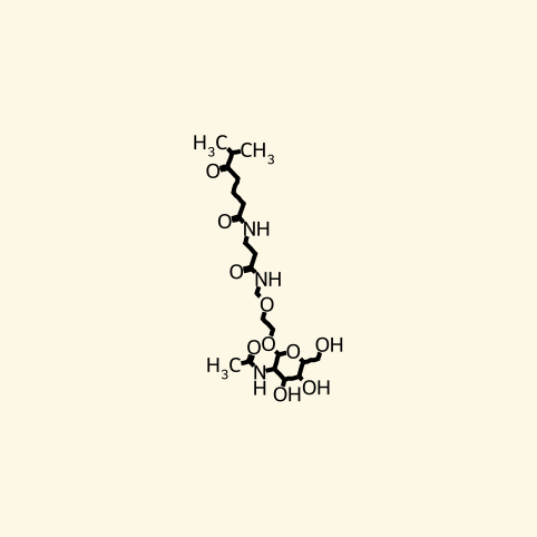 CC(=O)NC1C(OCCOCNC(=O)CCNC(=O)CCCC(=O)C(C)C)OC(CO)C(O)C1O